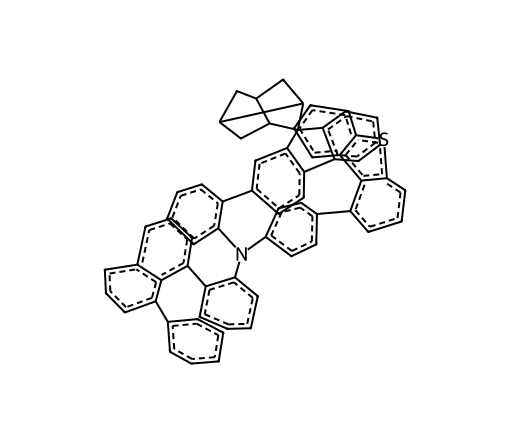 c1ccc(-c2cccc3cccc(-c4ccccc4N(c4ccc(-c5cccc6sc7ccccc7c56)cc4)c4ccccc4-c4ccc5c(c4)C4(c6ccccc6-5)C5CC6CC5CC64)c23)cc1